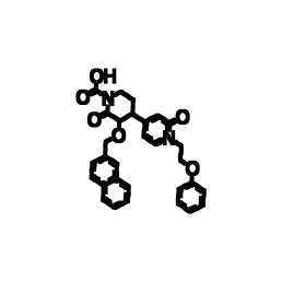 O=C(O)N1CCC(c2ccn(CCOc3ccccc3)c(=O)c2)C(OCc2ccc3ccccc3c2)C1=O